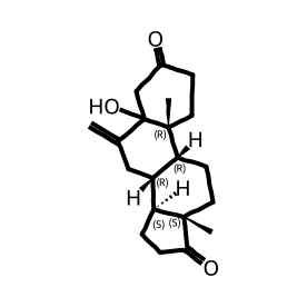 C=C1C[C@@H]2[C@@H](CC[C@]3(C)C(=O)CC[C@@H]23)[C@@]2(C)CCC(=O)CC12O